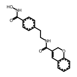 O=C(NCCc1ccc(C(=O)NO)cc1)C1=Cc2ccccc2OC1